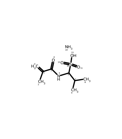 C=C(C)C(=O)NC(C(C)C)S(=O)(=O)O.N